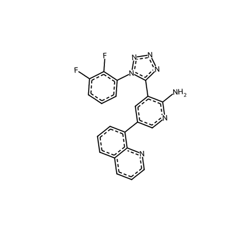 Nc1ncc(-c2cccc3cccnc23)cc1-c1nnnn1-c1cccc(F)c1F